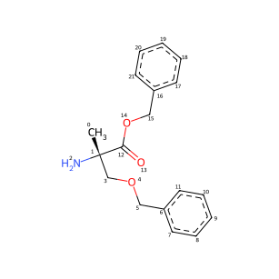 C[C@](N)(COCc1ccccc1)C(=O)OCc1ccccc1